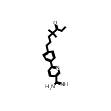 CCC(=O)C(C)(C)CCCc1ccc(-c2ccc(C(=N)N)cn2)cc1